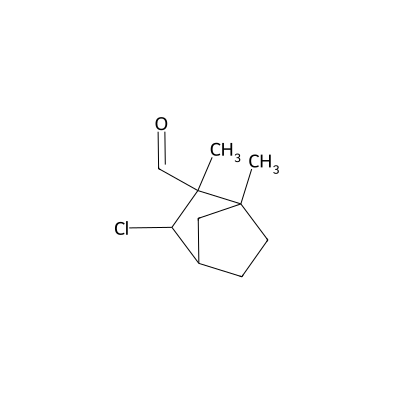 CC12CCC(C1)C(Cl)C2(C)C=O